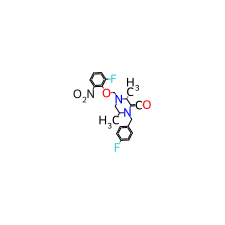 C[C@@H]1C(=C=O)N(Cc2ccc(F)cc2)[C@@H](C)CN1COc1c(F)cccc1[N+](=O)[O-]